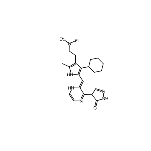 CCN(CC)CCc1c(C)[nH]c(C=C2NC=CN=C2C2C=NNC2=O)c1C1CCCCC1